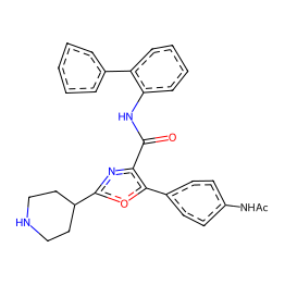 CC(=O)Nc1ccc(-c2oc(C3CCNCC3)nc2C(=O)Nc2ccccc2-c2ccccc2)cc1